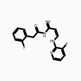 N=C(/C=C\Nc1ncccc1F)NC(=O)Cc1ccccc1F